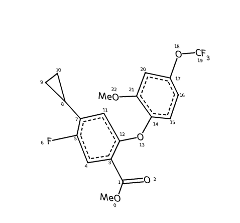 COC(=O)c1cc(F)c(C2CC2)cc1Oc1ccc(OC(F)(F)F)cc1OC